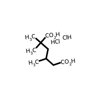 CC(CC(=O)O)CC(C)(C)C(=O)O.Cl.Cl